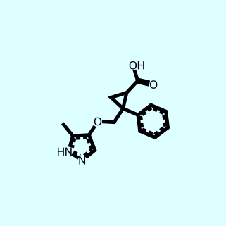 Cc1[nH]ncc1OCC1(c2ccccc2)CC1C(=O)O